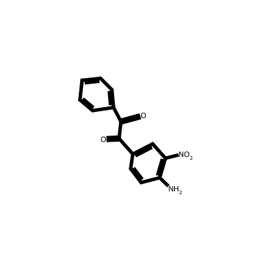 Nc1ccc(C(=O)C(=O)c2ccccc2)cc1[N+](=O)[O-]